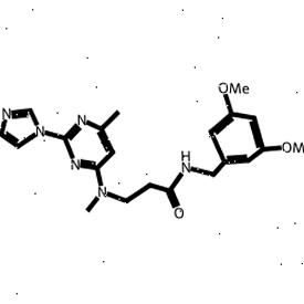 COc1cc(CNC(=O)CCN(C)c2cc(C)nc(-n3ccnc3)n2)cc(OC)c1